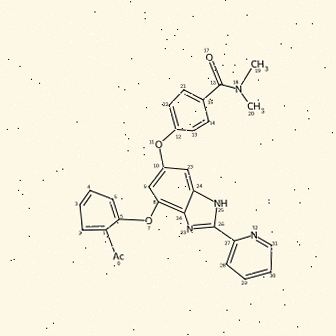 CC(=O)c1ccccc1Oc1cc(Oc2ccc(C(=O)N(C)C)cc2)cc2[nH]c(-c3ccccn3)nc12